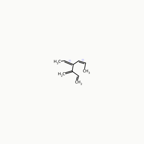 C=CC(=C)C(/C=C\C)=C\C